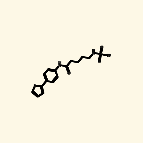 CC(C)S(=O)(=O)NCCCCC(=O)Nc1ccc(-c2cccs2)cc1